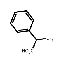 O=C(O)[C@@H](c1ccccc1)C(F)(F)F